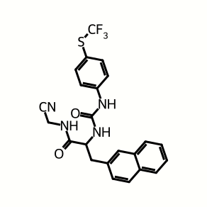 N#CCNC(=O)C(Cc1ccc2ccccc2c1)NC(=O)Nc1ccc(SC(F)(F)F)cc1